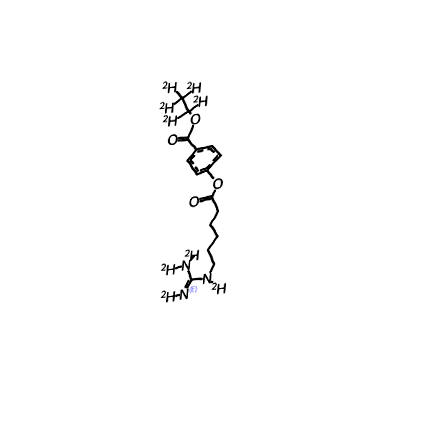 [2H]/N=C(\N([2H])[2H])N([2H])CCCCCC(=O)Oc1ccc(C(=O)OC([2H])([2H])C([2H])([2H])[2H])cc1